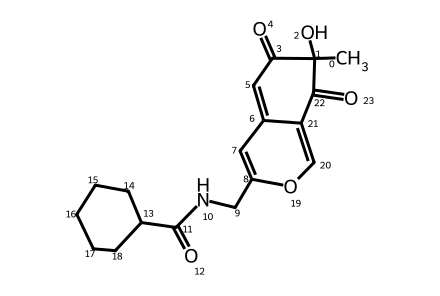 CC1(O)C(=O)C=C2C=C(CNC(=O)C3CCCCC3)OC=C2C1=O